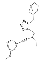 CCC(C#Cc1cccc(OC)c1)Oc1nsnc1OC1CN2CCC1C2